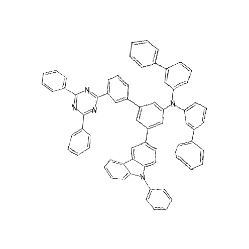 c1ccc(-c2cccc(N(c3cccc(-c4ccccc4)c3)c3cc(-c4cccc(-c5nc(-c6ccccc6)nc(-c6ccccc6)n5)c4)cc(-c4ccc5c(c4)c4ccccc4n5-c4ccccc4)c3)c2)cc1